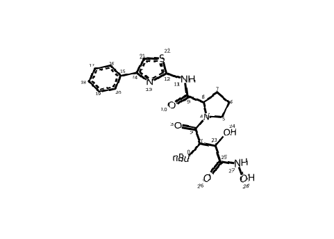 CCCCC(C(=O)N1CCCC1C(=O)Nc1nc(-c2ccccc2)cs1)C(O)C(=O)NO